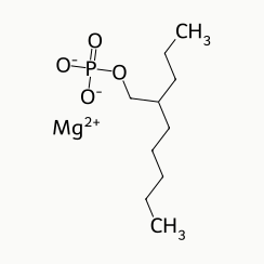 CCCCCC(CCC)COP(=O)([O-])[O-].[Mg+2]